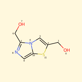 OCc1cn2c(CO)ncc2s1